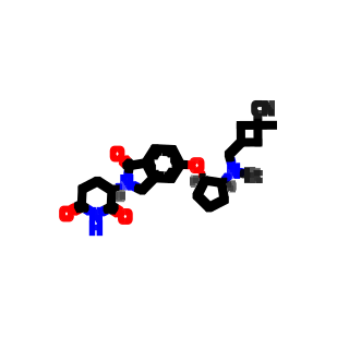 CCN(CC1CC(C)(C#N)C1)[C@H]1CCC[C@@H]1Oc1ccc2c(c1)CN([C@H]1CCC(=O)NC1=O)C2=O